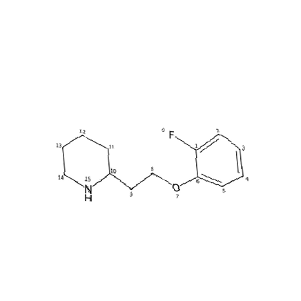 Fc1c[c]ccc1OCCC1CCCCN1